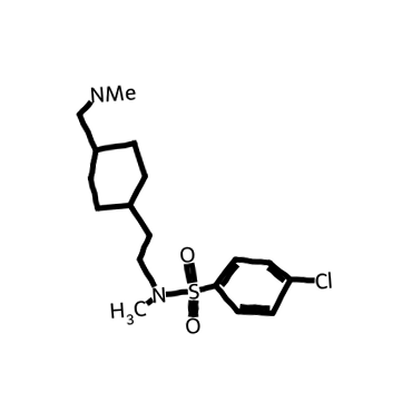 CNCC1CCC(CCN(C)S(=O)(=O)c2ccc(Cl)cc2)CC1